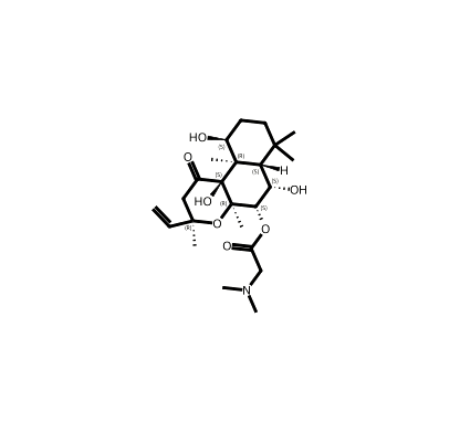 C=C[C@@]1(C)CC(=O)[C@]2(O)[C@@]3(C)[C@@H](O)CCC(C)(C)[C@@H]3[C@H](O)[C@H](OC(=O)CN(C)C)[C@@]2(C)O1